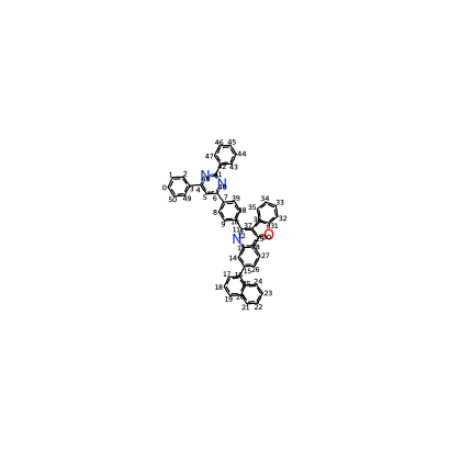 c1ccc(-c2cc(-c3ccc(-c4nc5cc(-c6cccc7ccccc67)ccc5c5oc6ccccc6c45)cc3)nc(-c3ccccc3)n2)cc1